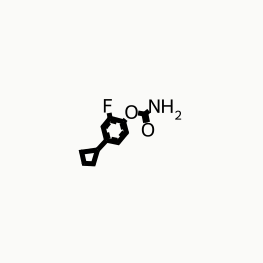 NC(=O)Oc1ccc(C2CCC2)cc1F